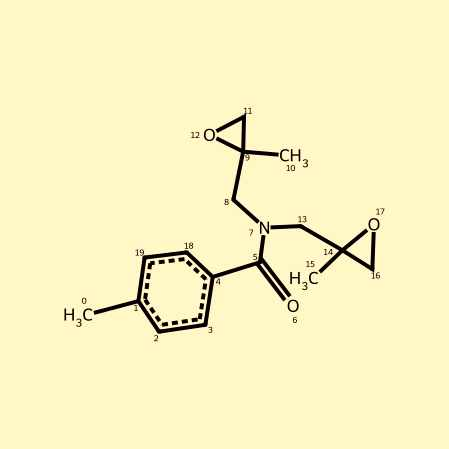 Cc1ccc(C(=O)N(CC2(C)CO2)CC2(C)CO2)cc1